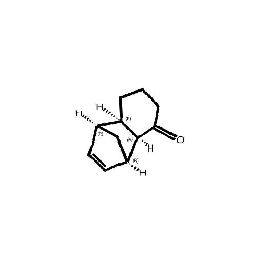 O=C1CCC[C@H]2[C@@H]1[C@H]1C=C[C@@H]2C1